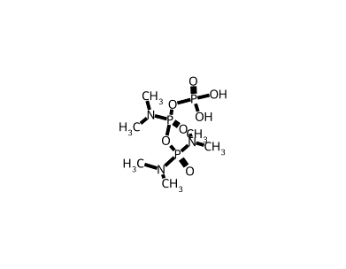 CN(C)P(=O)(OP(=O)(O)O)OP(=O)(N(C)C)N(C)C